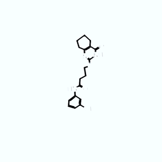 O=C(CCCSc1nc2c(c(=O)[nH]1)CCCC2)Nc1cccc(O)c1